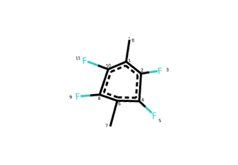 [CH2]c1c(F)c(F)c(C)c(F)c1F